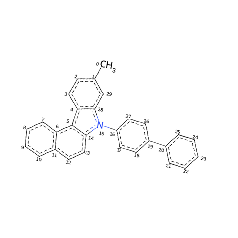 Cc1ccc2c3c4ccccc4ccc3n(-c3ccc(-c4ccccc4)cc3)c2c1